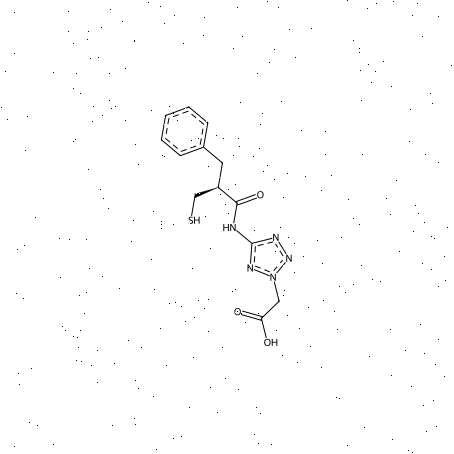 O=C(O)Cn1nnc(NC(=O)[C@@H](CS)Cc2ccccc2)n1